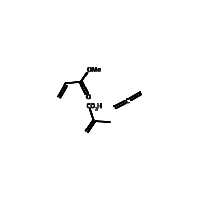 C=C(C)C(=O)O.C=C=C.C=CC(=O)OC